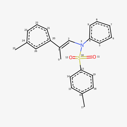 CC(=CN(c1ccccc1)S(=O)(=O)c1ccc(C)cc1)c1cccc(C)c1